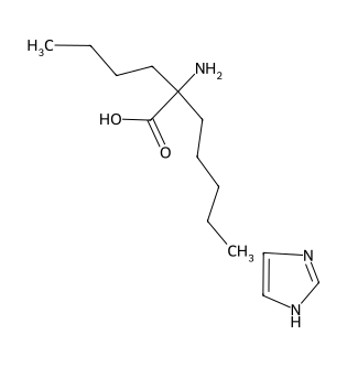 CCCCCC(N)(CCCC)C(=O)O.c1c[nH]cn1